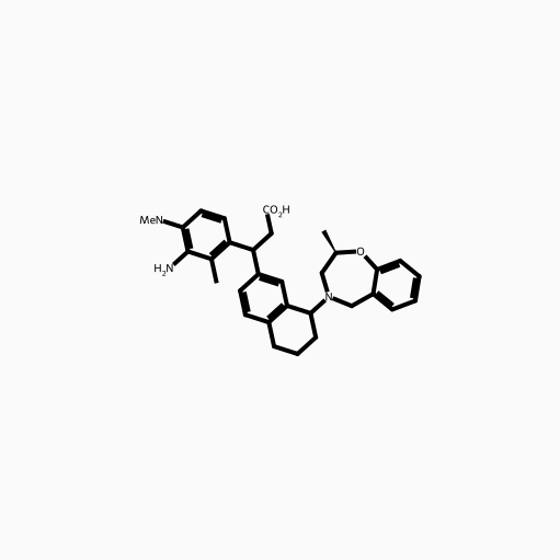 CNc1ccc(C(CC(=O)O)c2ccc3c(c2)C(N2Cc4ccccc4O[C@H](C)C2)CCC3)c(C)c1N